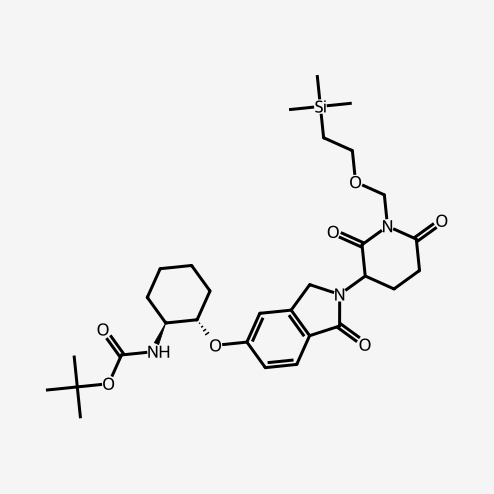 CC(C)(C)OC(=O)N[C@H]1CCCC[C@@H]1Oc1ccc2c(c1)CN(C1CCC(=O)N(COCC[Si](C)(C)C)C1=O)C2=O